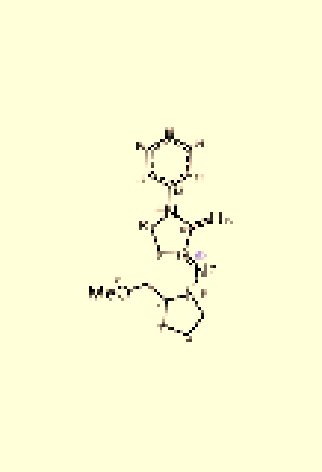 COCC1CCCN1/N=C1\CCN(c2ccccc2)C1=O